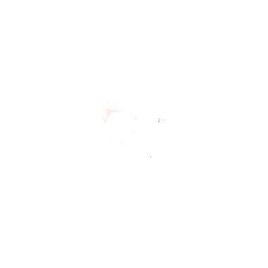 CC(C)C1=C(C(C)(C)C)C=COC1